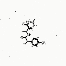 Cc1nnc(C(C)NC(=O)C(C)c2ccc(C(F)(F)F)cc2)c(=O)[nH]1